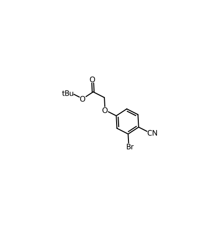 CC(C)(C)OC(=O)COc1ccc(C#N)c(Br)c1